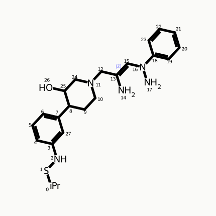 CC(C)SNc1cccc(C2CCN(C/C(N)=C/N(N)c3ccccc3)CC2O)c1